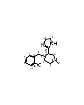 CN1CCN(Cc2ccccc2Cl)C(C2=NCCN2)C1